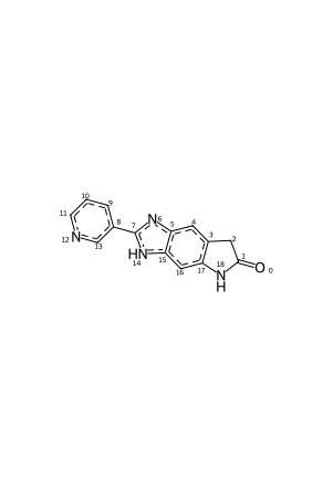 O=C1Cc2cc3nc(-c4cccnc4)[nH]c3cc2N1